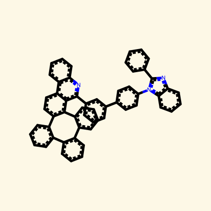 c1ccc(-c2nc3ccccc3n2-c2ccc(-c3cccc(-c4nc5ccccc5c5ccc6c(c45)-c4ccccc4-c4ccccc4-c4ccccc4-6)c3)cc2)cc1